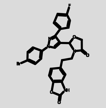 O=C1COC(c2cn(-c3ccc(Br)cc3)nc2-c2ccc(F)cc2)N1CCc1ccc2oc(=O)[nH]c2c1